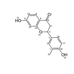 Cc1cc(C2CC(=O)c3ccc(O)cc3O2)ccc1O